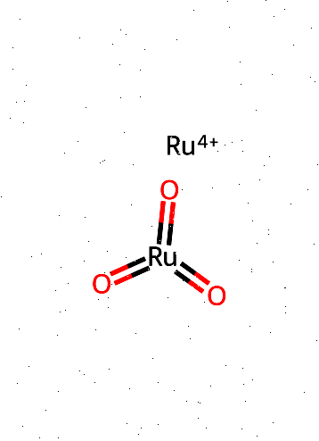 [O]=[Ru](=[O])=[O].[Ru+4]